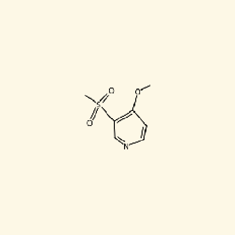 COc1ccncc1S(C)(=O)=O